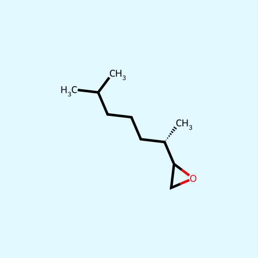 CC(C)CCC[C@H](C)C1CO1